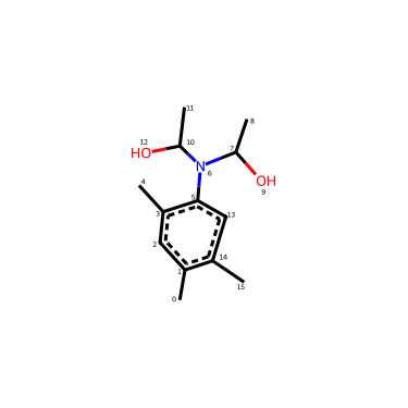 Cc1cc(C)c(N(C(C)O)C(C)O)cc1C